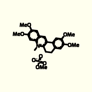 COS(=O)(=O)[O-].COc1cc2c(cc1OC)-c1cc3cc(OC)c(OC)cc3[n+](C)c1CC2